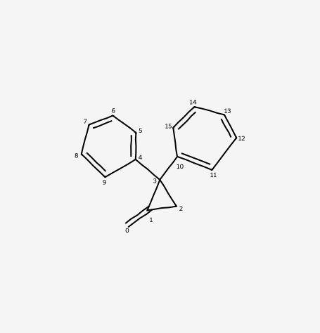 C=C1CC1(c1ccccc1)c1ccccc1